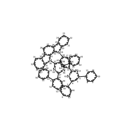 c1ccc(-c2cc(-c3ccccc3)nc(-c3ccc(-n4c5ccccc5c5ccc6c7ccccc7n(-c7nc(-c8ccccc8)nc(-c8ccccc8-c8ccccc8)n7)c6c54)cc3)n2)cc1